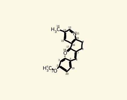 COc1ccc(C=C2CCc3ncc(C)cc3C2=O)cc1